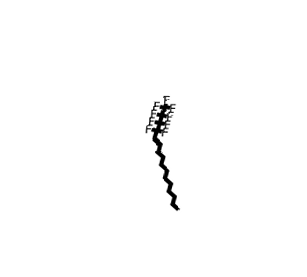 CCCCCCCCCCC=CC(F)(F)C(F)(F)C(F)(F)C(F)(F)F